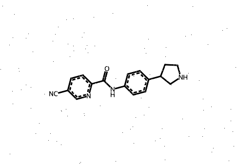 N#Cc1ccc(C(=O)Nc2ccc(C3CCNC3)cc2)nc1